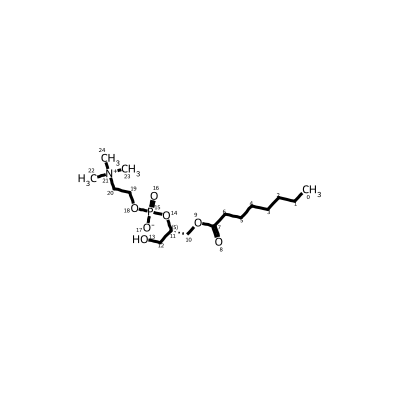 CCCCCCCC(=O)OC[C@H](CO)OP(=O)([O-])OCC[N+](C)(C)C